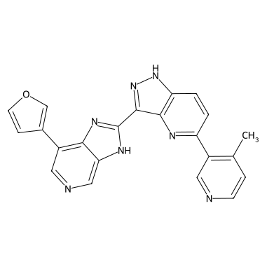 Cc1ccncc1-c1ccc2[nH]nc(-c3nc4c(-c5ccoc5)cncc4[nH]3)c2n1